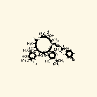 CC[C@@H]1OC(=O)[C@H](C)[C@H](C)[C@@H](C)[C@H](C[C@@H]2CC(C)(OC)[C@H](O)[C@H](C)O2)C(O)(C[C@@H]2O[C@H](C)C[C@H](N(C)C)[C@@H]2O)C[C@H](C)CN(CCNC(=S)Nc2ccc(Br)cc2)[C@H](C)[C@@H](O)C1(C)O